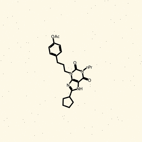 CCCn1c(=O)c2[nH]c(C3CCCC3)nc2n(CCCc2ccc(OC(C)=O)cc2)c1=O